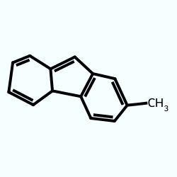 Cc1ccc2c(c1)C=C1C=CC=CC12